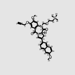 C#CCOc1cc2c(cc1OC)N(COCC[Si](C)(C)C)C(=O)[C@@H]1CC(c3ccc4cc(OC)ccc4c3)=CN1C2=O